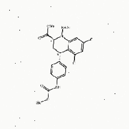 COC(=O)[C@@H]1C[C@@H](c2ccc(NC(=O)OC(C)(C)C)cc2)c2c(Cl)cc(Cl)cc2N1NC(C)=O